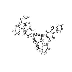 c1ccc2c(c1)oc1cc(-c3nc(-c4ccc(-n5c6ccccc6c6ccccc65)cc4)nc4oc5ccccc5c34)ccc12